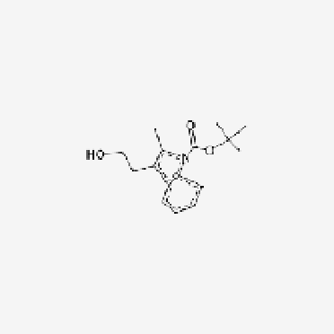 Cc1c(CCO)c2ccccc2n1C(=O)OC(C)(C)C